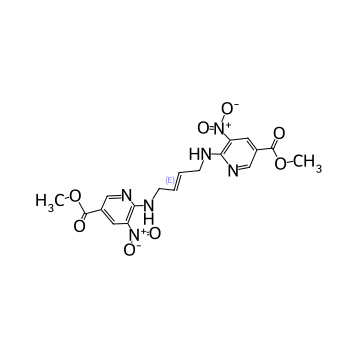 COC(=O)c1cnc(NC/C=C/CNc2ncc(C(=O)OC)cc2[N+](=O)[O-])c([N+](=O)[O-])c1